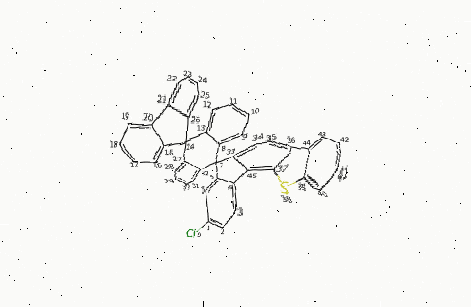 Clc1ccc2c(c1)C1(c3ccccc3C3(c4ccccc4-c4ccccc43)c3ccccc31)c1ccc3c(sc4ccccc43)c1-2